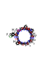 C=CC[C@H]1C(=O)NC2(CCCC2)C(=O)N(C)[C@@H](C2CCCCC2)C(=O)N(C)[C@H](C(=O)N2CCCCC2)CC(=O)N(C)[C@@H](CC(C)C)C(=O)N[C@@H]([C@@H](C)CC)C(=O)N(C)CC(=O)N(C)CC(=O)N(C)[C@@H](CC2CCCCC2)C(=O)N(C)CC(=O)N[C@@H](CCc2ccc(C(F)(F)F)c(Cl)c2)C(=O)N1C